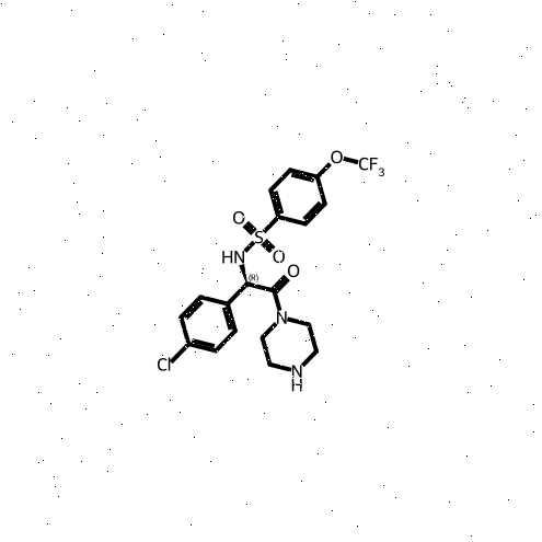 O=C([C@H](NS(=O)(=O)c1ccc(OC(F)(F)F)cc1)c1ccc(Cl)cc1)N1CCNCC1